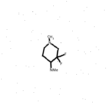 CNC1CCN(C)CC1(F)F